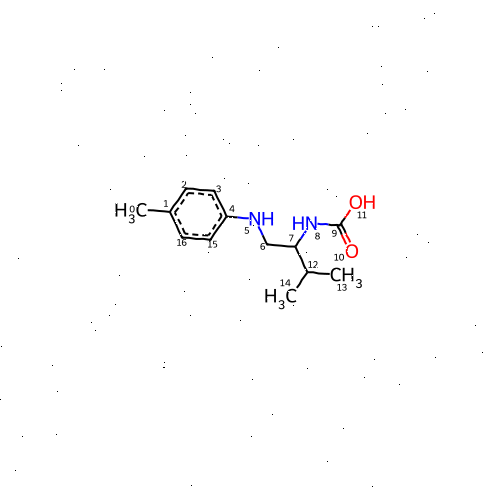 Cc1ccc(NCC(NC(=O)O)C(C)C)cc1